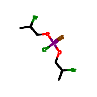 CC(Br)COP(=S)(Cl)OCC(C)Br